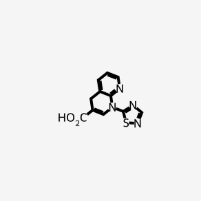 O=C(O)C1=CN(c2ncns2)c2ncccc2C1